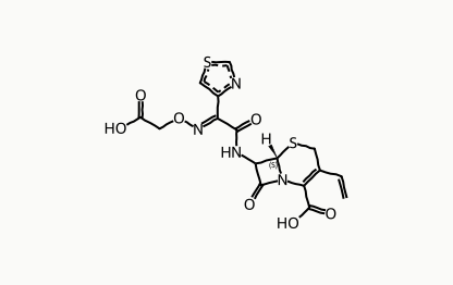 C=CC1=C(C(=O)O)N2C(=O)C(NC(=O)C(=NOCC(=O)O)c3cscn3)[C@@H]2SC1